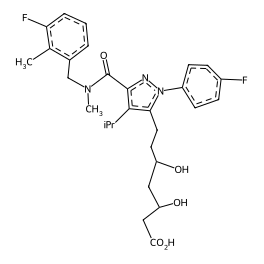 Cc1c(F)cccc1CN(C)C(=O)c1nn(-c2ccc(F)cc2)c(CCC(O)CC(O)CC(=O)O)c1C(C)C